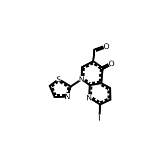 O=Cc1cn(-c2nccs2)c2nc(I)ccc2c1=O